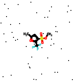 COS(=O)(=O)c1cc(C)oc1C(F)(F)F